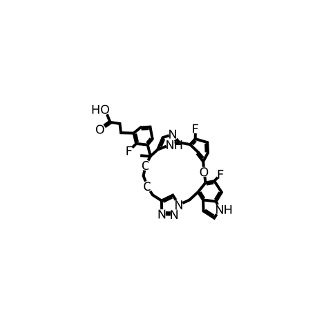 CC1(c2cccc(CCC(=O)O)c2F)CCCCc2cn(nn2)Cc2c(c(F)cc3[nH]ccc23)Oc2ccc(F)c(c2)-c2ncc1[nH]2